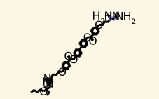 CCCCOC(C)(CC)Cn1cc(CCCOc2ccc(C(=O)Oc3ccc(-c4ccc(OC(=O)c5ccc(OCCC/C(N)=C/NN)cc5)cc4)cc3)cc2)nn1